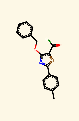 Cc1ccc(-c2nc(OCc3ccccc3)c(C(=O)Cl)s2)cc1